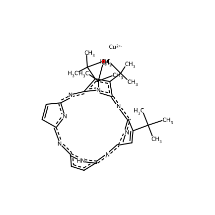 CC(C)(C)C1=Cc2nc1nc1c(C(C)(C)C)c(C(C)(C)C)c(nc3nc(nc4ccc(n2)[nH]4)C=C3)n1C(C)(C)C.[Cu+2]